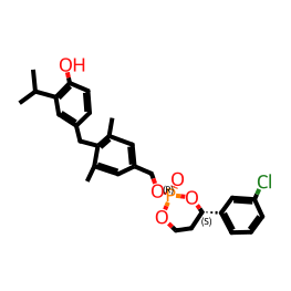 Cc1cc(CO[P@@]2(=O)OCC[C@@H](c3cccc(Cl)c3)O2)cc(C)c1Cc1ccc(O)c(C(C)C)c1